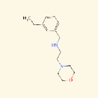 CCc1cccc(CNCCN2CCOCC2)c1